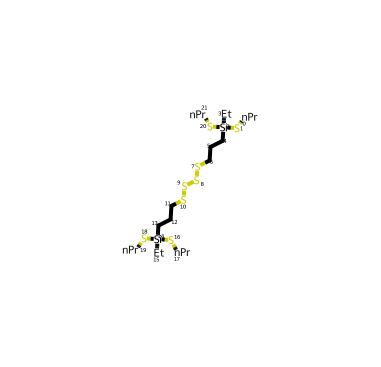 CCCS[Si](CC)(CCCSSSSCCC[Si](CC)(SCCC)SCCC)SCCC